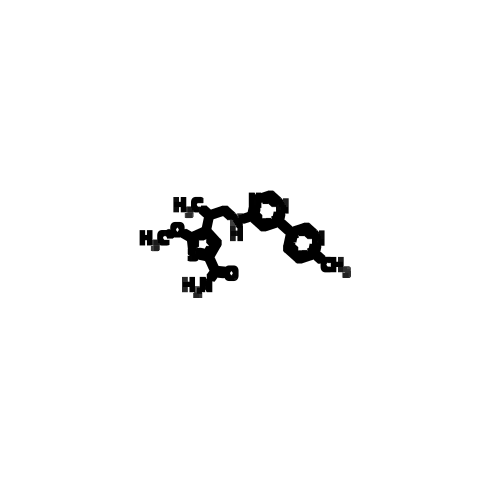 COc1sc(C(N)=O)cc1C(C)CNc1cc(-c2ccc(C)nc2)ncn1